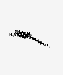 CCCCCCCCCCCCNC(=O)[C@]1(C)CCC[C@@]2(C)C1CC=C1C=C(C(C)C)CC[C@@H]12